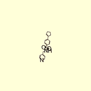 O=S(=O)(NCc1ccncc1)c1ccc(C2=CCCC2)cc1